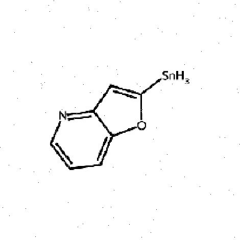 [SnH3][c]1cc2ncccc2o1